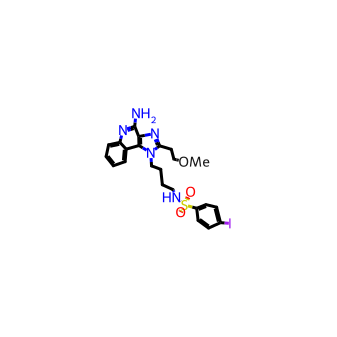 COCCc1nc2c(N)nc3ccccc3c2n1CCCCNS(=O)(=O)c1ccc(I)cc1